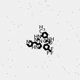 Cc1ccc(NS(=O)(=O)c2cccc(C(F)(F)F)c2)cc1Nc1nc(-c2cccnc2)c2[nH]ccc2n1